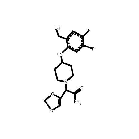 NC(=O)C(C1=COCO1)N1CCC(Nc2cc(F)c(F)cc2CO)CC1